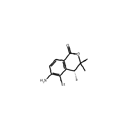 CCc1c(N)ccc2c1[C@@H](C)C(C)(C)OC2=O